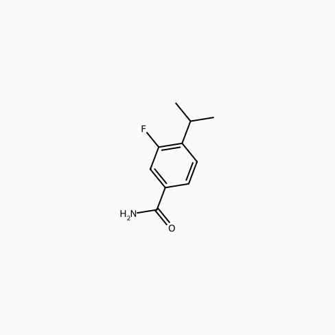 CC(C)c1ccc(C(N)=O)cc1F